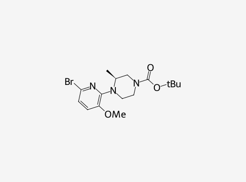 COc1ccc(Br)nc1N1CCN(C(=O)OC(C)(C)C)C[C@@H]1C